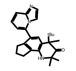 CC1(C)Nc2c(cc(-c3cccc4nccn34)c3c2CCC3)C(C)(C(C)(C)C)C1=O